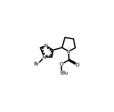 CC(C)(C)OC(=O)N1CCCC1c1cn(Br)cn1